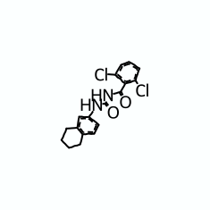 O=C(NC(=O)c1c(Cl)cccc1Cl)Nc1ccc2c(c1)CCCC2